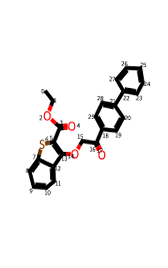 CCOC(=O)c1sc2ccccc2c1OCC(=O)c1ccc(-c2ccccc2)cc1